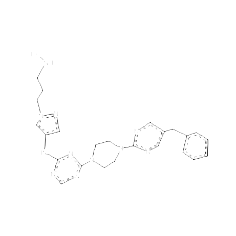 CNCCCn1cc(Nc2ncnc(N3CCN(c4ncc(Cc5ccccc5)cn4)CC3)n2)cn1